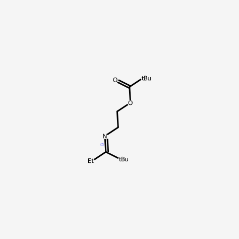 CC/C(=N/CCOC(=O)C(C)(C)C)C(C)(C)C